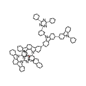 c1ccc(-c2nc(-c3ccccc3)nc(-c3cccc(-n4c5ccc(-c6ccc7c(c6)c6ccccc6n7-c6ccccc6)cc5c5ccc(-c6ccc7c(c6)c6ccc8c9ccccc9n(-c9nc(-c%10ccc%11ccccc%11c%10)nc(-n%10c%11ccccc%11c%11ccc%12c%13ccccc%13n(-c%13ccccc%13)c%12c%11%10)n9)c8c6n7-c6ccccc6)cc54)c3)n2)cc1